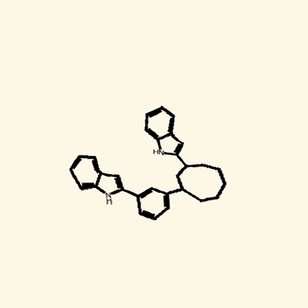 c1cc(-c2cc3ccccc3[nH]2)cc(C2CCCCCC(c3cc4ccccc4[nH]3)C2)c1